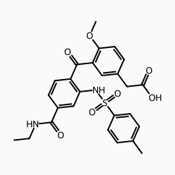 CCNC(=O)c1ccc(C(=O)c2cc(CC(=O)O)ccc2OC)c(NS(=O)(=O)c2ccc(C)cc2)c1